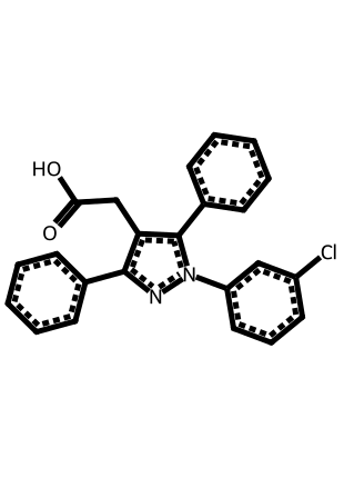 O=C(O)Cc1c(-c2ccccc2)nn(-c2cccc(Cl)c2)c1-c1ccccc1